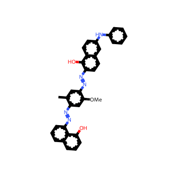 COc1cc(N=Nc2cccc3cccc(O)c23)c(C)cc1N=Nc1ccc2cc(Nc3ccccc3)ccc2c1O